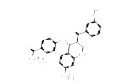 COC(=O)c1ccc(OC2c3ccc(O)cc3OCC2C(=O)c2cccc(F)c2)cc1